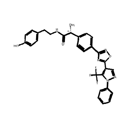 O=C(NCCc1ccc(O)cc1)[C@H](O)c1ccc(-c2noc(-c3cnn(-c4ccccc4)c3C(F)(F)F)n2)cc1